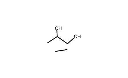 CC.CC(O)CO